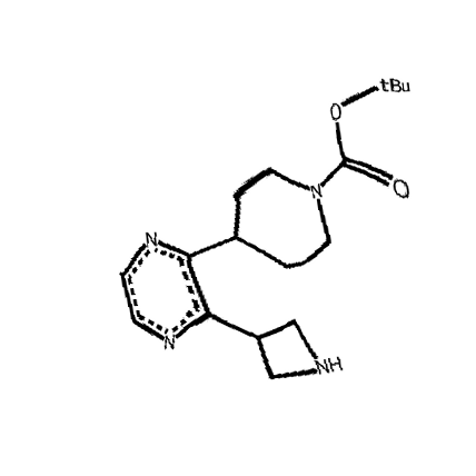 CC(C)(C)OC(=O)N1CCC(c2nccnc2C2CNC2)CC1